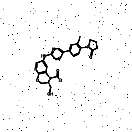 CCC(=O)N1c2cc(Nc3ccc(-c4ccc(N5CCCC5=O)c(F)c4)cn3)cnc2OC[C@@H]1CO